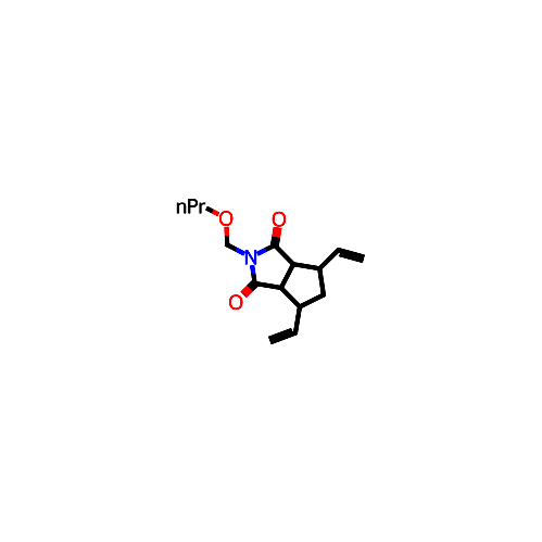 C=CC1CC(C=C)C2C(=O)N(COCCC)C(=O)C12